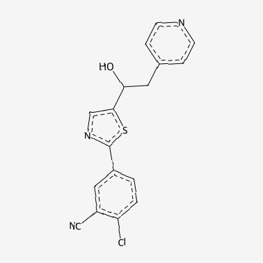 N#Cc1cc(-c2ncc(C(O)Cc3ccncc3)s2)ccc1Cl